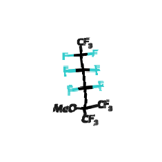 COC(C(F)(F)F)(C(F)(F)F)C(F)(F)C(F)(F)C(F)(F)C(F)(F)F